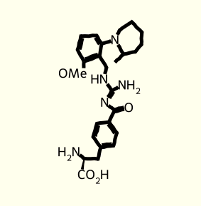 COc1cccc(N2CCCCCC2C)c1CN/C(N)=N/C(=O)c1ccc(C[C@H](N)C(=O)O)cc1